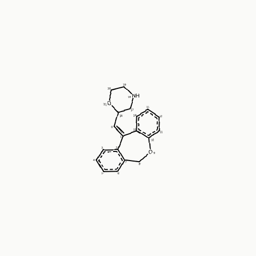 C(=C1c2ccccc2COc2ccccc21)C1CNCCO1